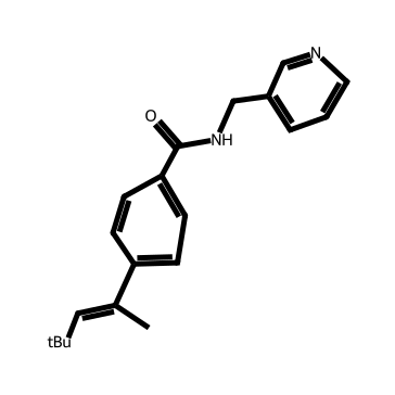 C/C(=C\C(C)(C)C)c1ccc(C(=O)NCc2cccnc2)cc1